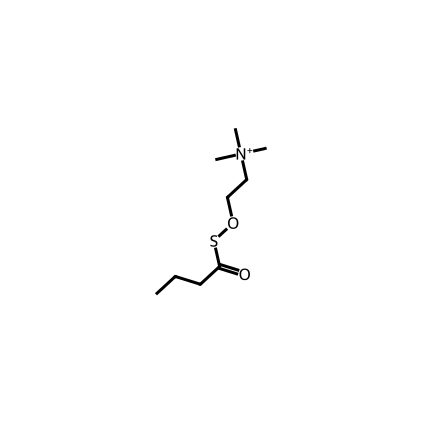 CCCC(=O)SOCC[N+](C)(C)C